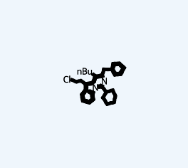 CCCCc1c(Cc2ccccc2)nc(C2CCCCC2)n2c1c(CCCl)c1ccccc12